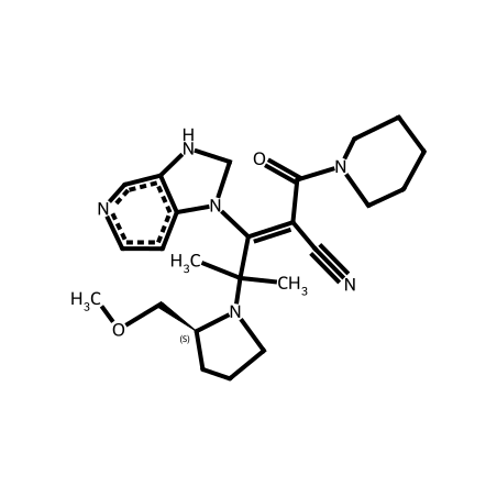 COC[C@@H]1CCCN1C(C)(C)C(=C(C#N)C(=O)N1CCCCC1)N1CNc2cnccc21